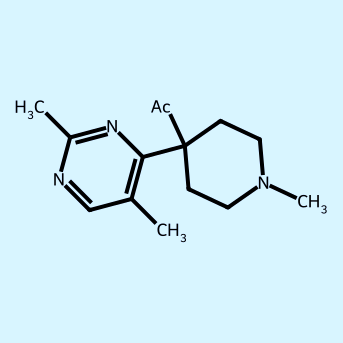 CC(=O)C1(c2nc(C)ncc2C)CCN(C)CC1